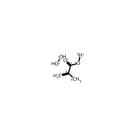 OO.[2H]OC(=O)C(=C)C